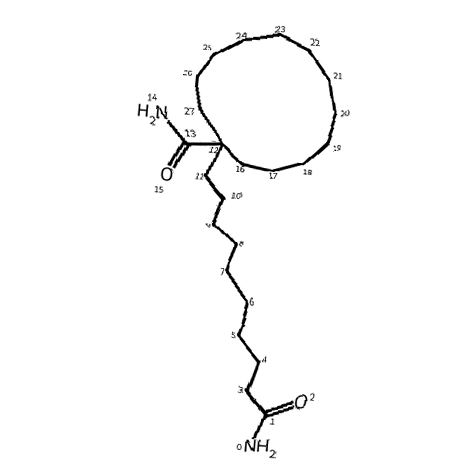 NC(=O)CCCCCCCCCC1(C(N)=O)CCCCCCCCCCCC1